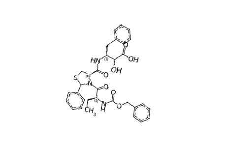 CC[C@H](NC(=O)OCc1ccccc1)C(=O)N1C(c2ccccc2)SC[C@H]1C(=O)N[C@@H](Cc1ccccc1)C(O)C(=O)O